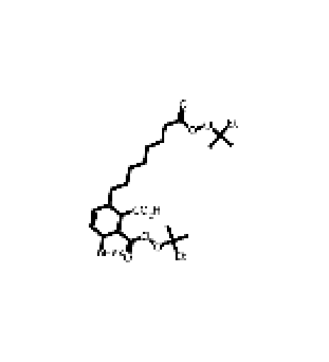 CCCCCCC1C=CC(CCCCCCCC(=O)OOC(C)(C)CC)C(C(=O)O)C1C(=O)OOC(C)(C)CC